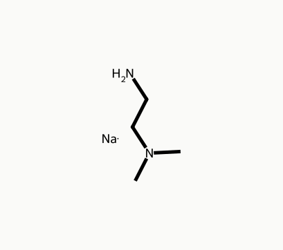 CN(C)CCN.[Na]